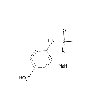 CS(=O)(=O)Nc1ccc(C(=O)O)cc1.[NaH]